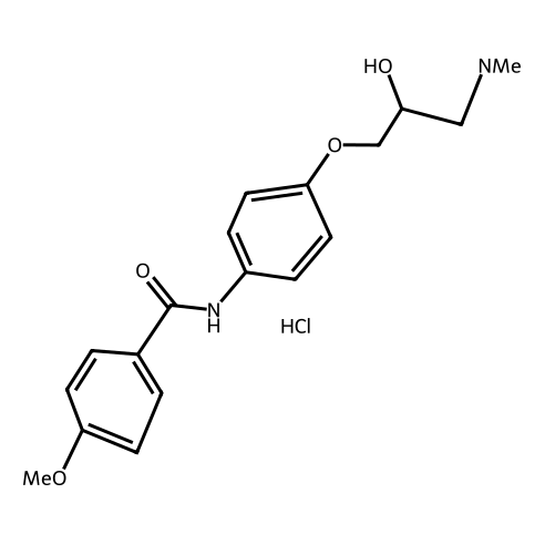 CNCC(O)COc1ccc(NC(=O)c2ccc(OC)cc2)cc1.Cl